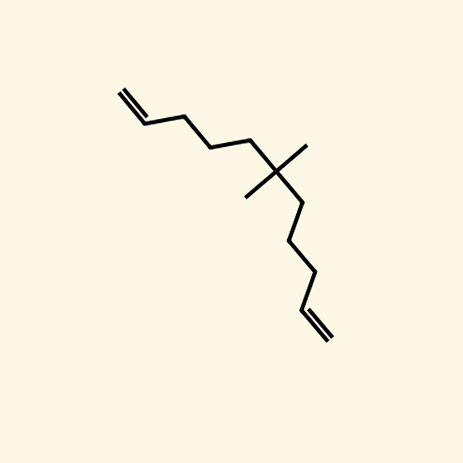 C=CCCCC(C)(C)CCCC=C